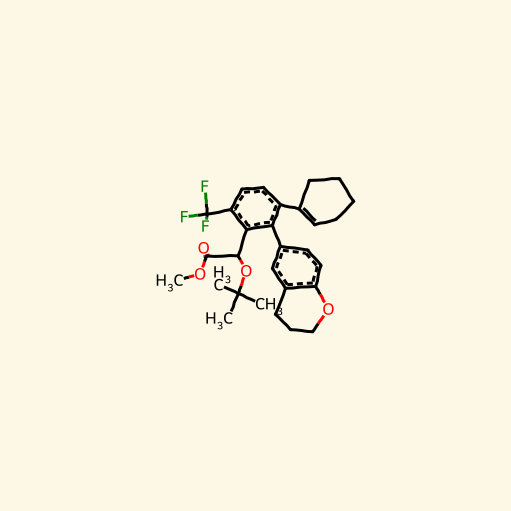 COC(=O)C(OC(C)(C)C)c1c(C(F)(F)F)ccc(C2=CCCCC2)c1-c1ccc2c(c1)CCCO2